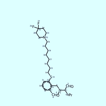 CCCC(C=O)N(C)Cc1c(C=O)cccc1SCCCCCCCCN1CCC(F)(F)CC1